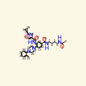 CC(=O)NCCCCNC(=O)c1ccc(N2CCN(c3ccccc3C)CC2)c(NC(=O)c2coc(C3CC3)n2)c1